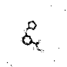 CCNC(=O)c1cccc(OC2CCCC2)c1